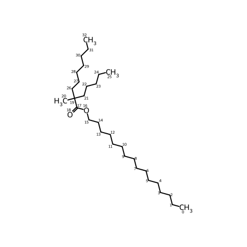 CCCCCCCCCCCCCCCCOC(=O)C(C)(CCCCC)CCCCCCC